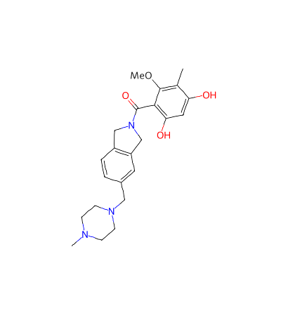 COc1c(C)c(O)cc(O)c1C(=O)N1Cc2ccc(CN3CCN(C)CC3)cc2C1